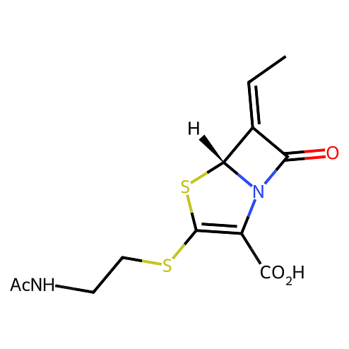 CC=C1C(=O)N2C(C(=O)O)=C(SCCNC(C)=O)S[C@H]12